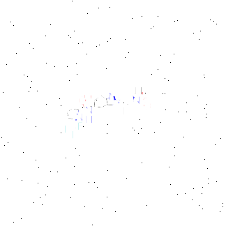 COc1cc2nn([C@H]3C[C@@H]4C[C@H]3CN4C(=O)OC(C)(C)C)cc2cc1NC(=O)c1cccc(C(F)(F)F)n1